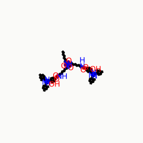 CCCCCCCn1c(=O)n(CCCCCCNC(=O)Oc2ccc(-c3nc(-c4ccc(C)cc4C)nc(-c4ccc(C)cc4C)n3)c(O)c2)c(=O)n(CCCCCCNC(=O)Oc2ccc(-c3nc(-c4ccc(C)cc4C)nc(-c4ccc(C)cc4C)n3)c(O)c2)c1=O